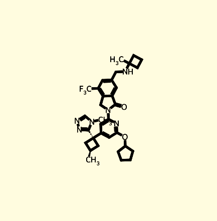 Cn1cnnc1[C@]1(c2cc(OC3CCCC3)nc(N3Cc4c(cc(CNC5(C)CCC5)cc4C(F)(F)F)C3=O)c2)C[C@@H](C)C1